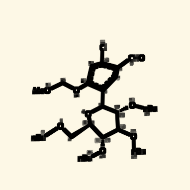 CCCCOC[C@H]1OC(c2cc(C=O)c(Cl)cc2OCOC)[C@H](OCCCC)C(OCCCC)[C@@H]1OCCCC